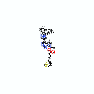 CC(OC(=O)CCCC[C@@H]1CCSS1)n1ccc2c(-c3cnn(C(CC#N)C4CCCC4)c3)ncnc21